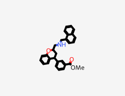 COC(=O)c1cccc(C2CC(CNCc3cccc4ccccc34)Oc3ccccc32)c1